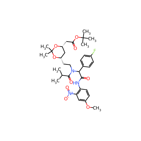 COc1ccc(NC(=O)C(c2ccc(F)cc2)N(CC[C@H]2C[C@@H](CC(=O)OC(C)(C)C)OC(C)(C)O2)C(=O)C(C)C)c([N+](=O)[O-])c1